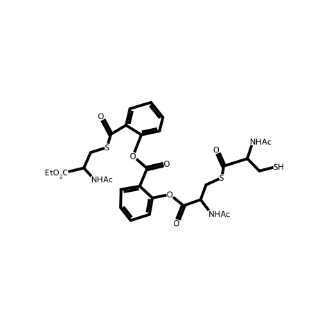 CCOC(=O)C(CSC(=O)c1ccccc1OC(=O)c1ccccc1OC(=O)C(CSC(=O)C(CS)NC(C)=O)NC(C)=O)NC(C)=O